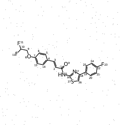 O=C(C=Cc1ccc(OCC(F)F)cc1)Nc1nc(-c2ccc(F)cc2)cs1